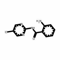 Nc1ccccc1C(=O)Nc1ncc(Cl)cn1